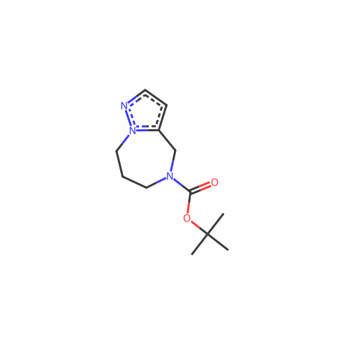 CC(C)(C)OC(=O)N1CCCn2nccc2C1